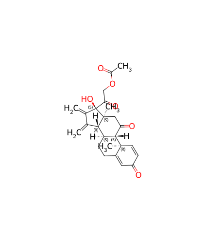 C=C1C(=C)[C@](O)(C(=O)COC(C)=O)[C@@]2(C)CC(=O)[C@H]3[C@@H](CCC4=CC(=O)C=C[C@@]43C)[C@H]12